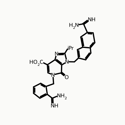 CC(C)c1nc2c(C(=O)O)cn(Cc3ccccc3C(=N)N)c(=O)c2n1Cc1ccc2ccc(C(=N)N)cc2c1